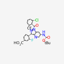 CC(C)(C)OC(=O)Nc1cnc2c(-c3ccc(C(=O)O)cc3F)nn(C(=O)c3c(Cl)cccc3C(F)(F)F)c2c1